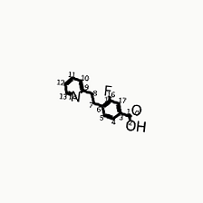 O=C(O)c1ccc(CCc2ccccn2)c(F)c1